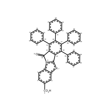 O=C(O)c1ccc2c(c1)nc1n2C(=O)c2c(-c3ccccc3)c(-c3ccccc3)c(-c3ccccc3)c(-c3ccccc3)c2-1